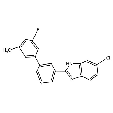 Cc1cc(F)cc(-c2cncc(-c3nc4ccc(Cl)cc4[nH]3)c2)c1